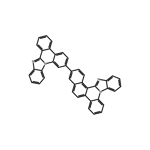 c1ccc2c(c1)nc1c3ccccc3c3ccc(-c4ccc5c(ccc6c7ccccc7n7c8ccccc8nc7c56)c4)cc3n21